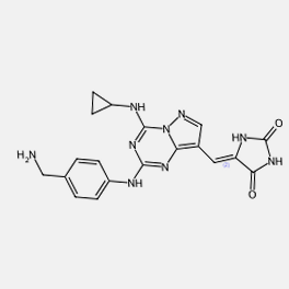 NCc1ccc(Nc2nc(NC3CC3)n3ncc(/C=C4\NC(=O)NC4=O)c3n2)cc1